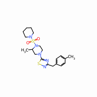 Cc1ccc(Cc2nsc(N3CCN(S(=O)(=O)N4CCCCC4)C(C)C3)n2)cc1